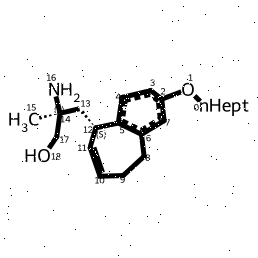 CCCCCCCOc1ccc2c(c1)CCC=C[C@@H]2C[C@](C)(N)CO